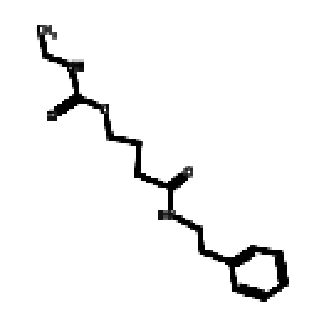 CCNC(=O)OCCCC(=O)NCCc1ccccc1